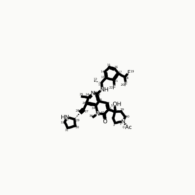 CC(=O)N1CCC(O)(c2cc3c(N[C@H](C)c4cccc(C(F)F)c4F)nc(C)c(C#C[C@@H]4CCCN4)c3n(C)c2=O)CC1